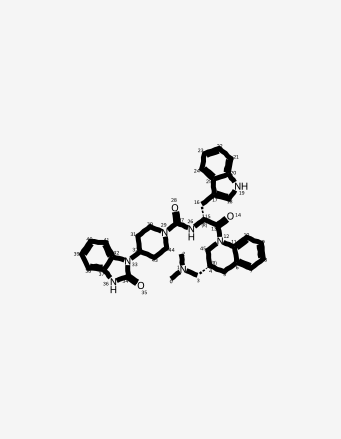 CN(C)C[C@H]1Cc2ccccc2N(C(=O)[C@@H](Cc2c[nH]c3ccccc23)NC(=O)N2CCC(n3c(=O)[nH]c4ccccc43)CC2)C1